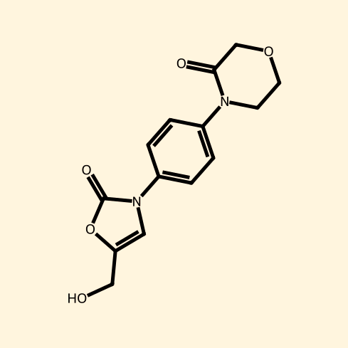 O=C1COCCN1c1ccc(-n2cc(CO)oc2=O)cc1